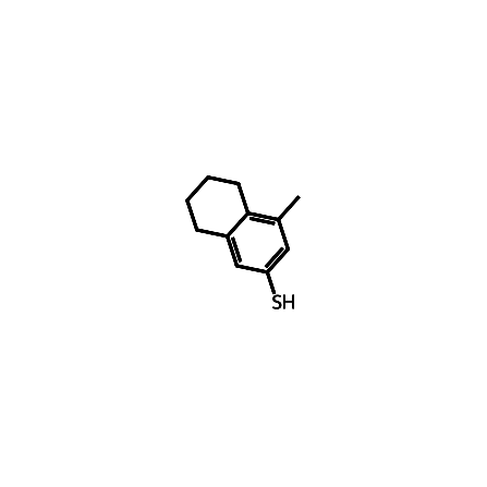 Cc1cc(S)cc2c1CCCC2